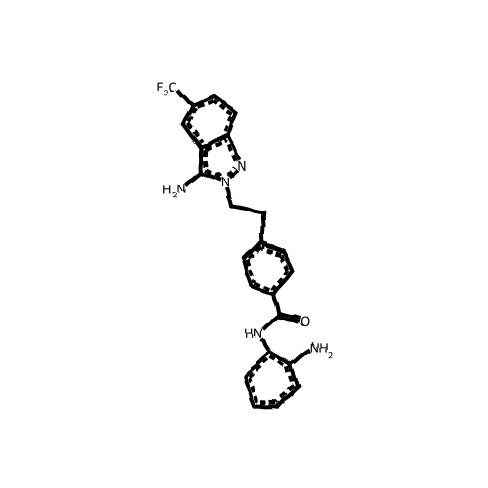 Nc1ccccc1NC(=O)c1ccc(CCn2nc3ccc(C(F)(F)F)cc3c2N)cc1